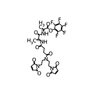 C[C@H](NC(=O)CCC(=O)N(CCN1C(=O)C=CC1=O)CCN1C(=O)C=CC1=O)C(=O)N[C@@H](C)C(=O)Oc1c(F)c(F)c(F)c(F)c1F